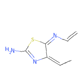 C=C/N=C1/SC(N)=N/C1=C/C